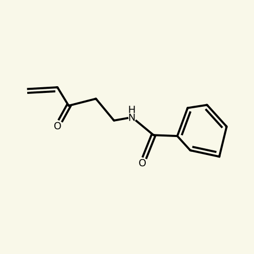 C=CC(=O)CCNC(=O)c1ccccc1